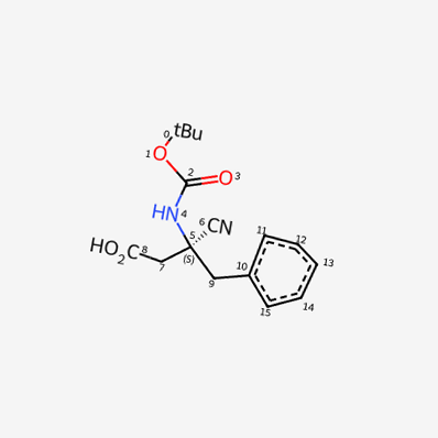 CC(C)(C)OC(=O)N[C@](C#N)(CC(=O)O)Cc1ccccc1